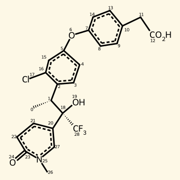 C[C@H](c1ccc(Oc2ccc(CC(=O)O)cc2)cc1Cl)[C@@](O)(c1ccc(=O)n(C)c1)C(F)(F)F